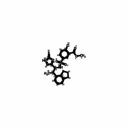 COC(=O)c1cc(S(=O)(=O)N[C@H](c2n[nH]c(=S)o2)[C@H](C)c2cccc3c2CCC3)ccc1Cl